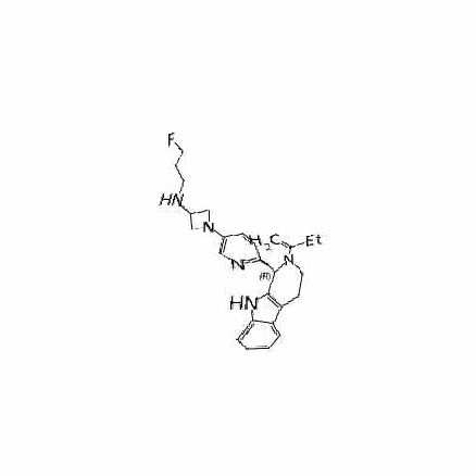 C=C(CC)N1CCc2c([nH]c3ccccc23)[C@H]1c1ccc(N2CC(NCCCF)C2)cn1